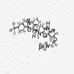 Cn1nc(-c2cccc(-n3ncc4cc(C(C)(C)C)ccc4c3=O)c2CO)cc(Nc2ccc(OC(C)(C)CN3CC(F)(F)C3)cn2)c1=O